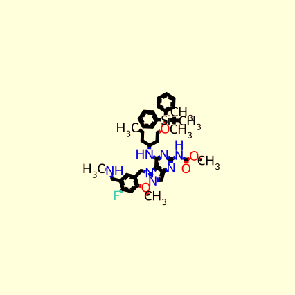 CCCC(CCO[Si](c1ccccc1)(c1ccccc1)C(C)(C)C)Nc1nc(NC(=O)OC)nc2cnn(Cc3cc(CNC)c(F)cc3OC)c12